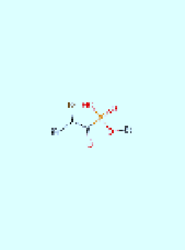 CCOP(=O)(O)C(=O)C(Br)C(C)C